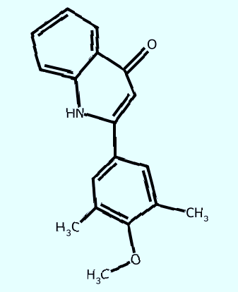 COc1c(C)cc(-c2cc(=O)c3ccccc3[nH]2)cc1C